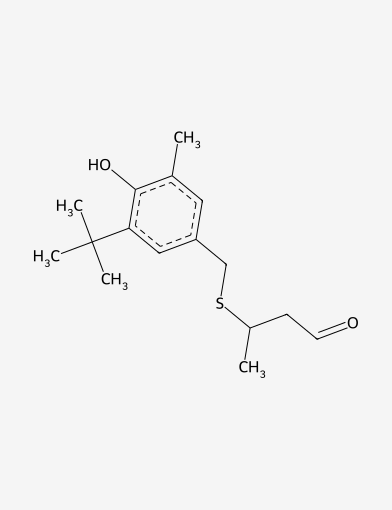 Cc1cc(CSC(C)CC=O)cc(C(C)(C)C)c1O